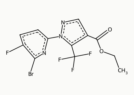 CCOC(=O)c1cnn(-c2ccc(F)c(Br)n2)c1C(F)(F)F